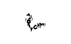 COCc1cnc(N2CCC([C@H]3C[C@H]3CCOc3ccc(CC(=O)N(C)C4CC4)c(F)c3)CC2)nc1